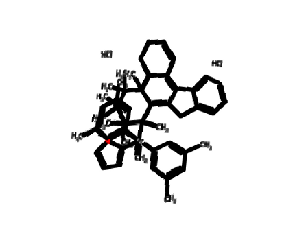 Cl.Cl.[CH2]=[Zr]([C]1=CC=CC1)([c]1cc(C)cc(C)c1)([c]1cc(C)cc(C)c1)[C]1(C)C2=C3Cc4ccccc4C3=C3C=CCCC3C2(C)C(C)(C)C(C)(C)C1(C)C